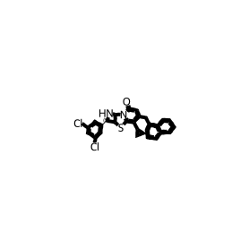 O=c1cc(Cc2cccc3ccccc23)c(C2CC2)c2n1C1N[C@@H](c3cc(Cl)cc(Cl)c3)C1S2